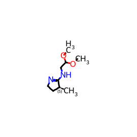 COC(CNC1=NCC[C@@H]1C)OC